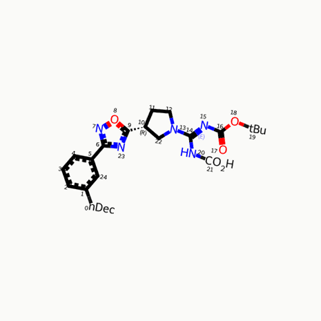 CCCCCCCCCCc1cccc(-c2noc([C@@H]3CCN(/C(=N/C(=O)OC(C)(C)C)NC(=O)O)C3)n2)c1